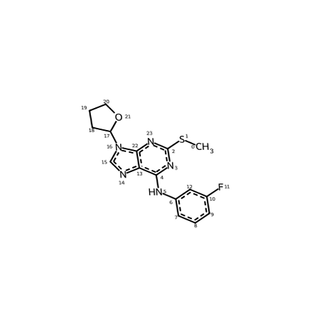 CSc1nc(Nc2cccc(F)c2)c2ncn(C3CCCO3)c2n1